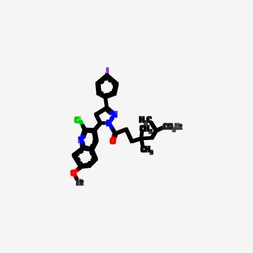 CCOC(=O)C(C)CC(C)(C)CCC(=O)N1N=C(c2ccc(I)cc2)CC1c1cc2ccc(OCC)cc2nc1Cl